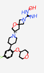 N=C(NO)N1CC2(C[C@H](N3CCC(c4cc(F)ccc4OC4CCOCC4)CC3)CO2)C1